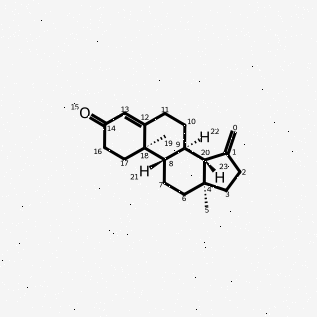 C=C1CC[C@@]2(C)CC[C@H]3[C@@H](CCC4=CC(=O)CC[C@@]43C)[C@H]12